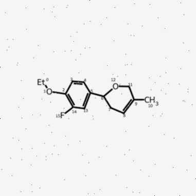 CCOc1ccc(C2CC=C(C)CO2)cc1F